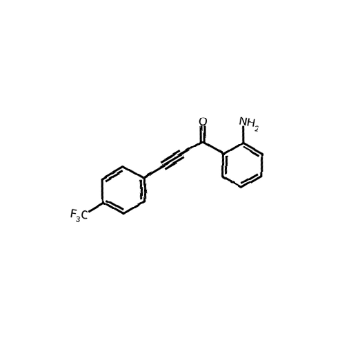 Nc1ccccc1C(=O)C#Cc1ccc(C(F)(F)F)cc1